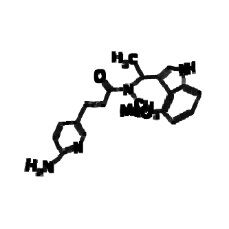 COc1cccc2[nH]cc(C(C)N(C)C(=O)C=Cc3ccc(N)nc3)c12